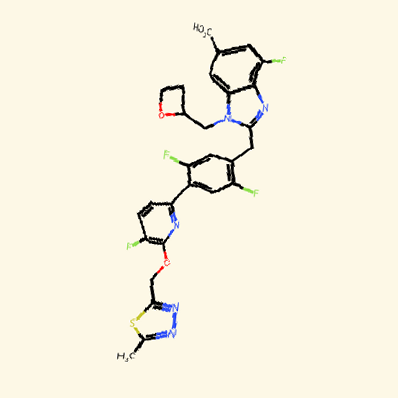 Cc1nnc(COc2nc(-c3cc(F)c(Cc4nc5c(F)cc(C(=O)O)cc5n4CC4CCO4)cc3F)ccc2F)s1